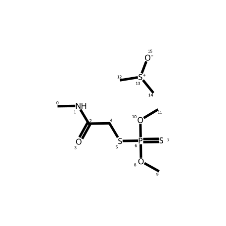 CNC(=O)CSP(=S)(OC)OC.C[S+](C)[O-]